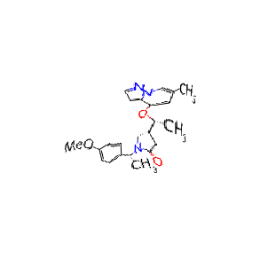 COc1ccc([C@@H](C)N2C[C@H]([C@@H](C)Oc3cc(C)cn4nccc34)CC2=O)cc1